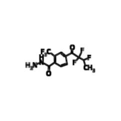 CC(F)C(F)(F)C(=O)c1ccc(C(=O)NN)c(C(F)(F)F)c1